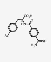 CC(=O)c1ccc(C[C@H](NC(=O)c2ccc(C(=N)N)cc2)C(=O)O)cc1